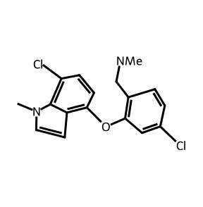 CNCc1ccc(Cl)cc1Oc1ccc(Cl)c2c1ccn2C